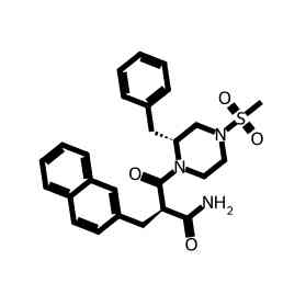 CS(=O)(=O)N1CCN(C(=O)[C@H](Cc2ccc3ccccc3c2)C(N)=O)[C@H](Cc2ccccc2)C1